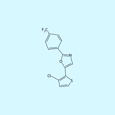 FC(F)(F)c1ccc(-c2ncc(-c3sccc3Cl)o2)cc1